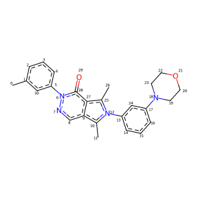 Cc1cccc(-n2ncc3c(C)n(-c4cccc(N5CCOCC5)c4)c(C)c3c2=O)c1